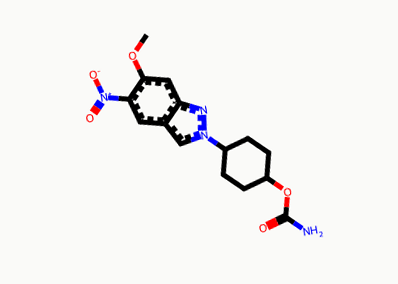 COc1cc2nn(C3CCC(OC(N)=O)CC3)cc2cc1[N+](=O)[O-]